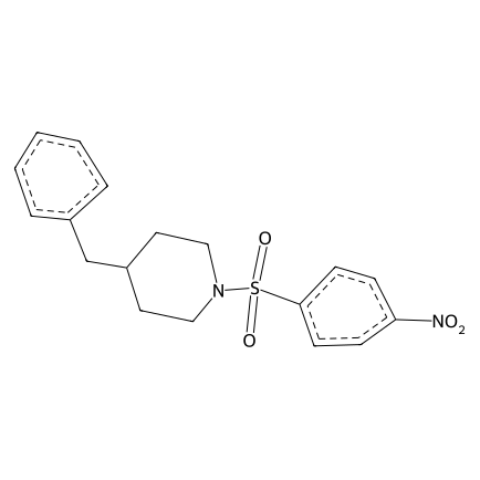 O=[N+]([O-])c1ccc(S(=O)(=O)N2CCC(Cc3ccccc3)CC2)cc1